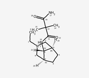 CCN1C[C@H]2CC[C@@H](C1)[C@@H]2NC(=O)C(C)(C)C(N)=O